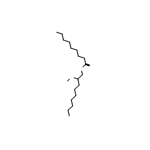 CCCCCCCCC(=O)SCC(CCCCCCC)OC